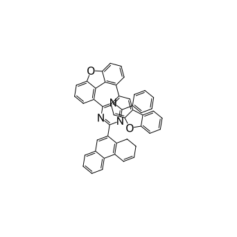 C1=Cc2c(c(-c3nc(-c4ccccc4)nc(-c4cccc5oc6cccc(-c7ccc8oc9ccccc9c8c7)c6c45)n3)cc3ccccc23)CC1